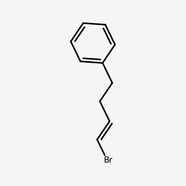 BrC=CCCc1ccccc1